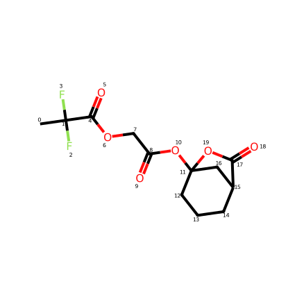 CC(F)(F)C(=O)OCC(=O)OC12CCCC(C1)C(=O)O2